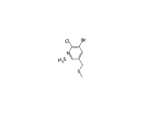 CSCc1cnc(Cl)c(Br)c1.S